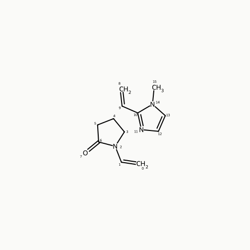 C=CN1CCCC1=O.C=Cc1nccn1C